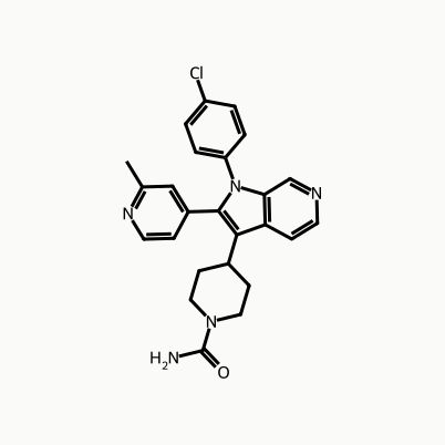 Cc1cc(-c2c(C3CCN(C(N)=O)CC3)c3ccncc3n2-c2ccc(Cl)cc2)ccn1